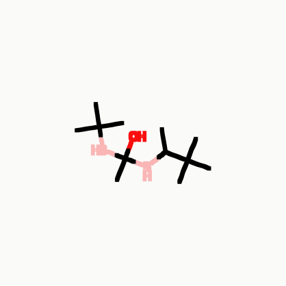 CC(BC(C)(O)BC(C)(C)C)C(C)(C)C